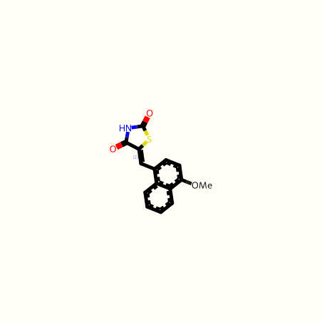 COc1ccc(/C=C2\SC(=O)NC2=O)c2ccccc12